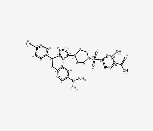 CN(C)c1ccc(CC(c2ccc(N)cc2)c2nsc(N3CCN(S(=O)(=O)c4ccc(C(=O)O)c(O)c4)CC3)n2)cc1